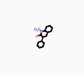 Cn1c(=O)c(-c2ccccc2)cc2ccccc21